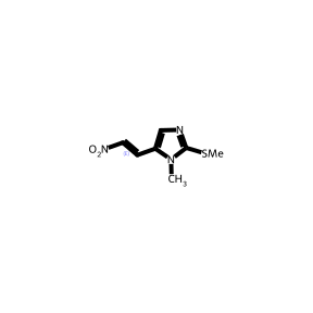 CSc1ncc(/C=C/[N+](=O)[O-])n1C